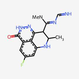 CN/C(=N\C=N)C1c2n[nH]c(=O)c3cc(F)cc(c23)NC1C